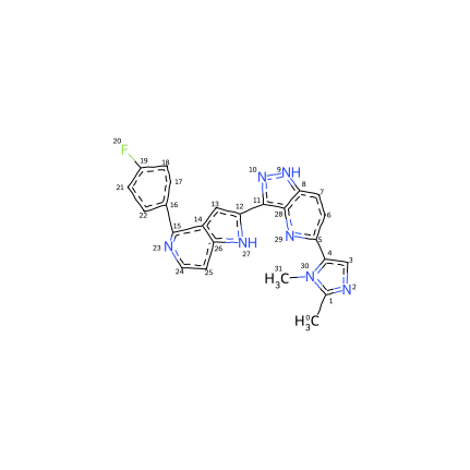 Cc1ncc(-c2ccc3[nH]nc(-c4cc5c(-c6ccc(F)cc6)nccc5[nH]4)c3n2)n1C